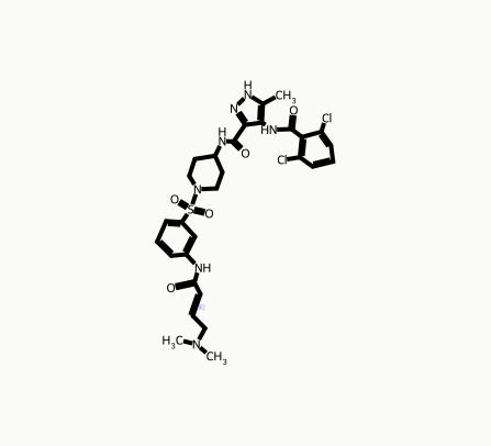 Cc1[nH]nc(C(=O)NC2CCN(S(=O)(=O)c3cccc(NC(=O)/C=C/CN(C)C)c3)CC2)c1NC(=O)c1c(Cl)cccc1Cl